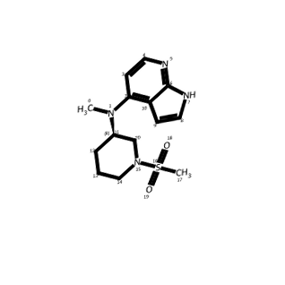 CN(c1ccnc2[nH]ccc12)[C@@H]1CCCN(S(C)(=O)=O)C1